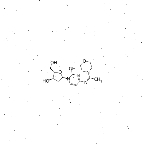 C/C(=N/C1=N[C@@H](O)N([C@H]2C[C@@H](O)[C@@H](CO)O2)C=C1)N1CCOCC1